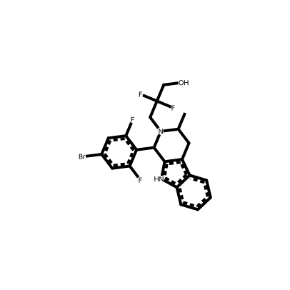 CC1Cc2c([nH]c3ccccc23)C(c2c(F)cc(Br)cc2F)N1CC(F)(F)CO